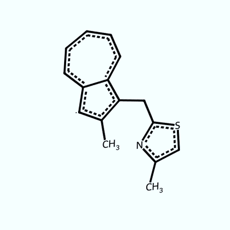 Cc1csc(Cc2c(C)[c]c3cccccc2-3)n1